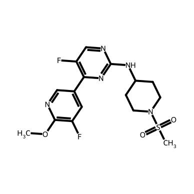 COc1ncc(-c2nc(NC3CCN(S(C)(=O)=O)CC3)ncc2F)cc1F